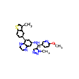 COc1ccc([C@H](Nc2cc(-c3ccc4scc(C)c4c3)c3nccnc3c2)c2cnnn2C)cn1